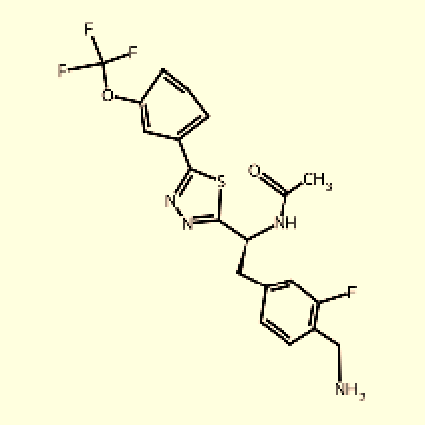 CC(=O)N[C@@H](Cc1ccc(CN)c(F)c1)c1nnc(-c2cccc(OC(F)(F)F)c2)s1